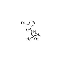 CCOc1ccccc1C(=O)NCC(C)(C)O